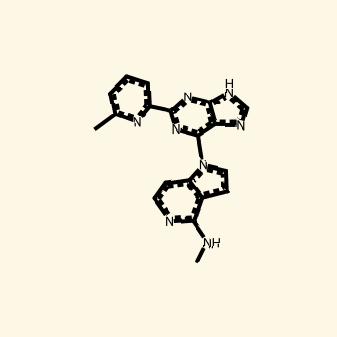 CNc1nccc2c1ccn2-c1nc(-c2cccc(C)n2)nc2[nH]cnc12